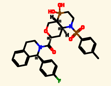 Cc1ccc(S(=O)(=O)N2CCS(O)(O)[C@H]3CO[C@@H](C(=O)N4CCc5ccccc5[C@@H]4c4ccc(F)cc4)C[C@@H]32)cc1